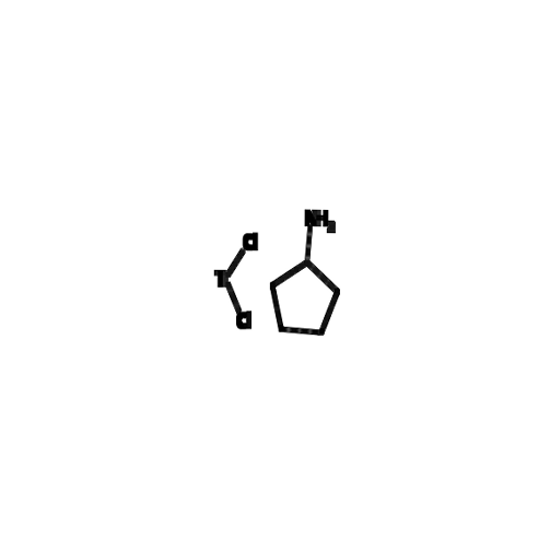 NC1CCCC1.[Cl][Ti][Cl]